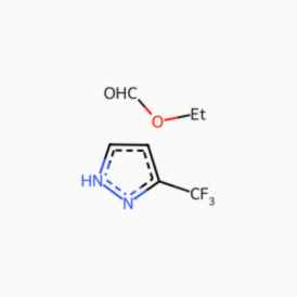 CCOC=O.FC(F)(F)c1cc[nH]n1